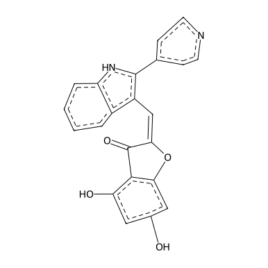 O=C1C(=Cc2c(-c3ccncc3)[nH]c3ccccc23)Oc2cc(O)cc(O)c21